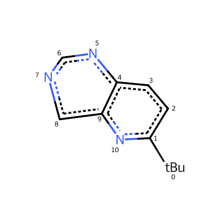 CC(C)(C)c1ccc2ncncc2n1